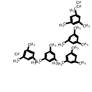 Cc1cc(C)cc(C)c1.Cc1cc(C)cc(C)c1.Cc1cc(C)cc(C)c1.Cc1cc(C)cc(C)c1.Cc1cc(C)cc(C)c1.[Cu].[Cu].[Cu].[Cu].[Cu]